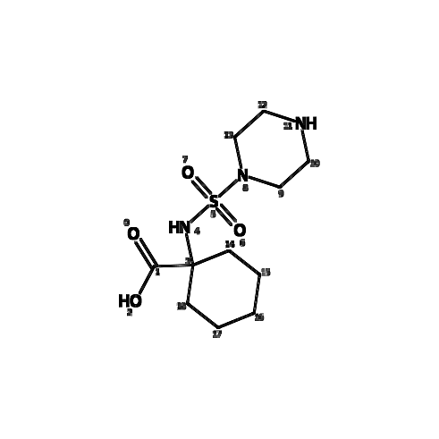 O=C(O)C1(NS(=O)(=O)N2CCNCC2)CCCCC1